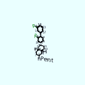 CCCCCC1CC[C@@H]2C[C@H](c3ccc(-c4cccc(F)c4)c(F)c3)CC[C@@H]2C1